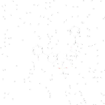 O=C(O)CCOc1c(F)cccc1-c1cccc(C[C@H]2[C@@H](NS(=O)(=O)C3(F)CC3)[C@@H](F)CCN2OC(=O)c2ccccc2)c1